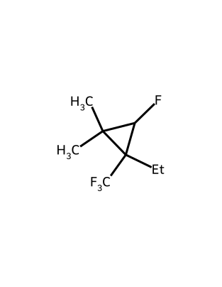 CCC1(C(F)(F)F)C(F)C1(C)C